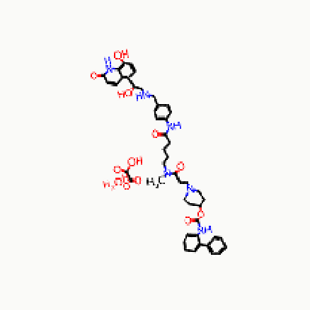 CN(CCCCC(=O)Nc1ccc(CNCC(O)c2ccc(O)c3[nH]c(=O)ccc23)cc1)C(=O)CCN1CCC(OC(=O)Nc2ccccc2-c2ccccc2)CC1.O.O=C(O)C(=O)O